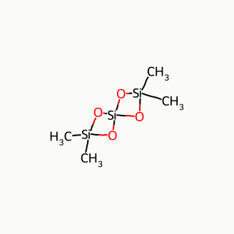 C[Si]1(C)O[Si]2(O1)O[Si](C)(C)O2